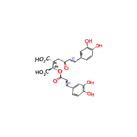 O=C(/C=C/c1ccc(O)c(O)c1)C[C@@H](C(=O)O)[C@@H](OC(=O)/C=C/c1ccc(O)c(O)c1)C(=O)O